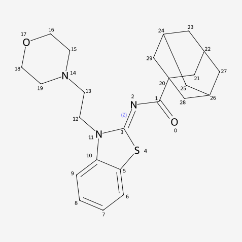 O=C(/N=c1\sc2ccccc2n1CCN1CCOCC1)C12CC3CC(CC(C3)C1)C2